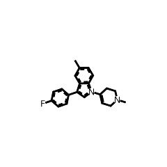 Cc1ccc2c(c1)c(-c1ccc(F)cc1)cn2C1=CCN(C)CC1